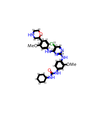 COc1cc(NC(=O)NC2CCCCC2)ccc1Nc1ncc(Cl)c(Nc2ccc(C3CNCCO3)c(OC)c2)n1